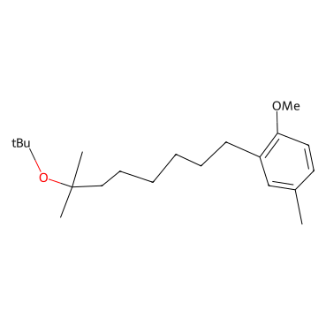 COc1ccc(C)cc1CCCCCCC(C)(C)OC(C)(C)C